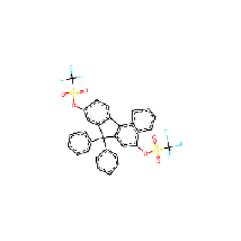 O=S(=O)(Oc1ccc2c(c1)C(c1ccccc1)(c1ccccc1)c1cc(OS(=O)(=O)C(F)(F)F)c3ccccc3c1-2)C(F)(F)F